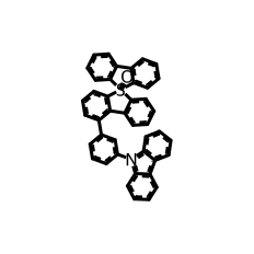 O=S12(c3ccccc3-c3ccccc31)c1ccccc1-c1c(-c3cccc(-n4c5ccccc5c5ccccc54)c3)cccc12